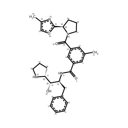 Cc1cc(C(=O)N[C@@H](Cc2ccccc2)[C@H](O)[C@H]2CCCN2)cc(C(=O)N2CCC[C@@H]2c2nc(C)co2)c1